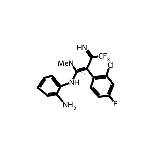 CN/C(Nc1ccccc1N)=C(\C(=N)C(F)(F)F)c1ccc(F)cc1Cl